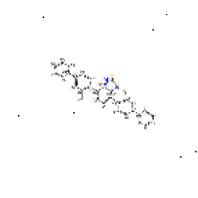 Cc1cc(-c2ccccc2)ccc1-c1ccc(-c2ccc(-c3ccccc3)cc2C)c2nsnc12